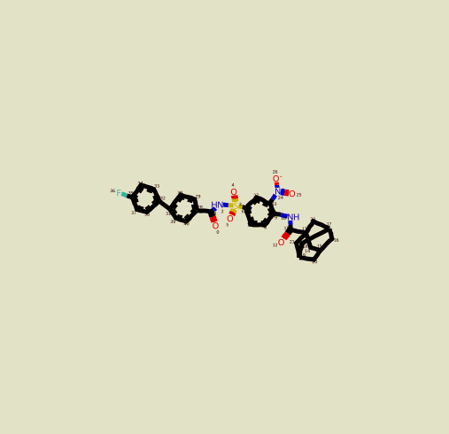 O=C(NS(=O)(=O)c1ccc(NC(=O)C23CC4CC(CC(C4)C2)C3)c([N+](=O)[O-])c1)c1ccc(-c2ccc(F)cc2)cc1